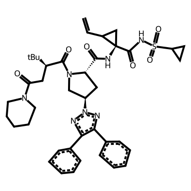 C=CC1C[C@]1(NC(=O)[C@@H]1C[C@@H](n2nc(-c3ccccc3)c(-c3ccccc3)n2)CN1C(=O)[C@@H](CC(=O)N1CCCCC1)C(C)(C)C)C(=O)NS(=O)(=O)C1CC1